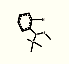 CSN(c1ccccc1Br)[Si](C)(C)C